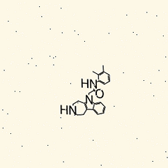 Cc1cccc(NC(=O)Cn2c3c(c4ccccc42)CCNCC3)c1C